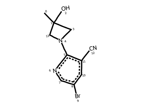 CC1(O)CN(c2ncc(Br)cc2C#N)C1